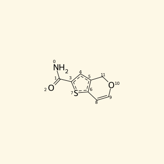 NC(=O)c1cc2c(s1)C=COC2